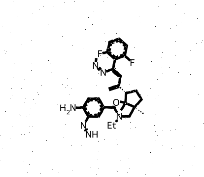 C=C(/C=C(\N=N/C)c1c(F)cccc1F)[C@@H]1CC[C@@](C)(CN(CC)C(=O)c2ccc(N)c(N=N)c2)C1(C)C